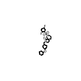 O=C1N(Cc2ccc(Oc3ccccc3)cc2)CCC12CCCN(S(=O)(=O)c1cc(F)ccc1F)C2